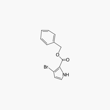 O=C(OCc1ccccc1)c1[nH]ccc1Br